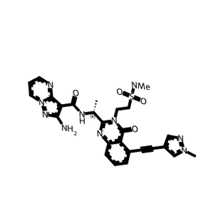 CNS(=O)(=O)CCn1c([C@@H](C)NC(=O)c2c(N)nn3cccnc23)nc2cccc(C#Cc3cnn(C)c3)c2c1=O